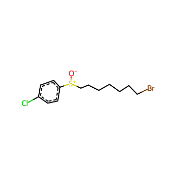 [O-][S+](CCCCCCCBr)c1ccc(Cl)cc1